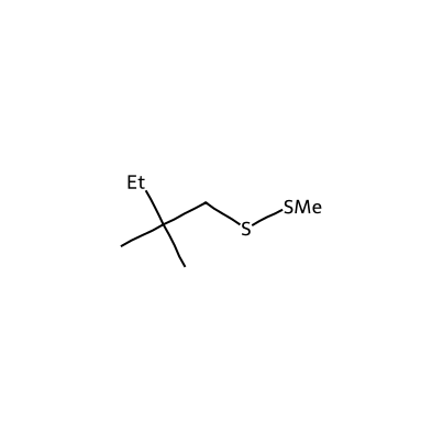 CCC(C)(C)CSSC